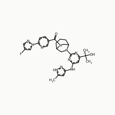 Cc1cc(Nc2cc(C(C)(C)O)nc(N3CC4CCCC3CN4C(=O)c3ccc(-n4cc(F)cn4)nc3)n2)n[nH]1